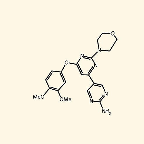 COc1ccc(Oc2cc(-c3cnc(N)nc3)nc(N3CCOCC3)n2)cc1OC